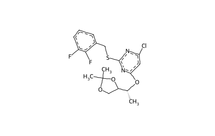 C[C@@H](Oc1cc(Cl)nc(SCc2cccc(F)c2F)n1)C1COC(C)(C)O1